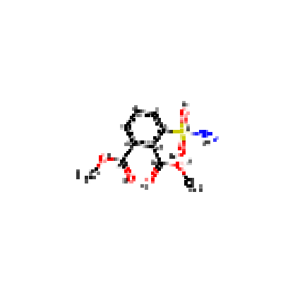 COC(=O)c1cccc(S(N)(=O)=O)c1C(=O)OC